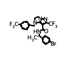 C[C@H](NC(=O)c1c(C(F)(F)F)nn2c1N(Cc1ccc(C(F)(F)F)cc1)CC2)c1ccc(Br)cc1